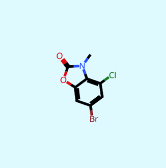 Cn1c(=O)oc2cc(Br)cc(Cl)c21